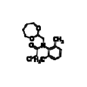 Cc1cccc(C)c1N(CC1OCCCCO1)C(=O)CCl